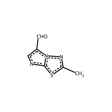 Cc1nn2c(C=O)cnc2s1